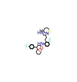 O=C(CC(c1ccc(F)cc1)C1CCCCO1)Nc1cccc(F)c1CCC1CN[C@@H]2CCCSN1C2